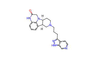 O=C1CN2c3c(cccc3[C@@H]3CN(CCCc4n[nH]c5cnccc45)CC[C@@H]32)N1